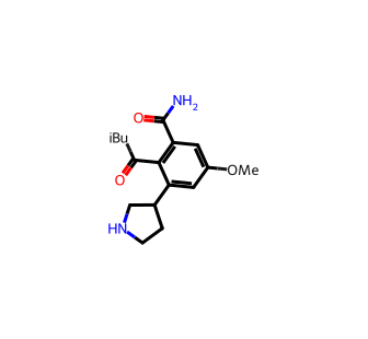 CCC(C)C(=O)c1c(C(N)=O)cc(OC)cc1C1CCNC1